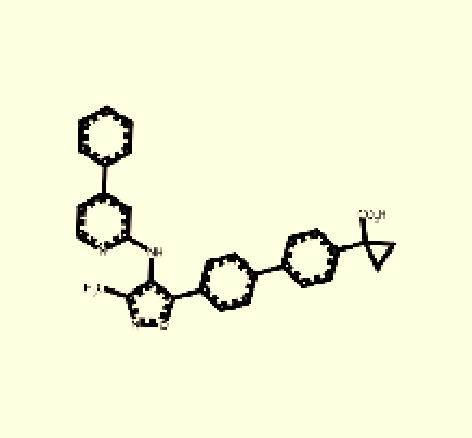 Cc1noc(-c2ccc(-c3ccc(C4(C(=O)O)CC4)cc3)cc2)c1Nc1cc(-c2ccccc2)ccn1